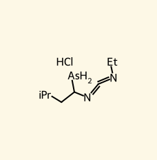 CCN=C=NC([AsH2])CC(C)C.Cl